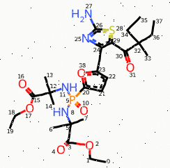 CCOC(=O)C(C)(C)NP(=O)(NC(C)(C)C(=O)OCC)c1ccc(-c2nc(N)sc2C(=O)C(C)(CC)CC)o1